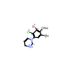 COc1c(C(C)(C)C)cc(N2C=CCNC2)c(Cl)c1Br